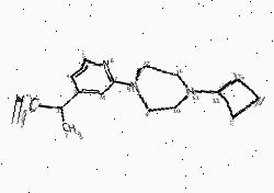 CC(C)c1ccnc(N2CCN(C3CCC3)CC2)c1